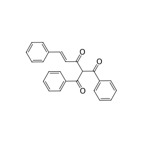 O=C(/C=C/c1ccccc1)C(C(=O)c1ccccc1)C(=O)c1ccccc1